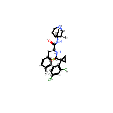 O=C(N[C@@H]1CN2CCC1CC2)[C@H](Cc1ccc(C(F)(F)F)cc1F)NC(=O)C1(c2ccc(Cl)cc2Cl)CC1